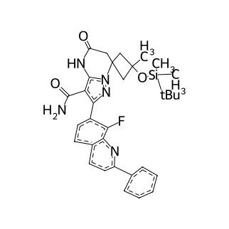 CC1(O[Si](C)(C)C(C)(C)C)CC2(CC(=O)Nc3c(C(N)=O)c(-c4ccc5ccc(-c6ccccc6)nc5c4F)nn32)C1